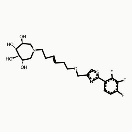 O[C@H]1[C@H](O)[C@@H](O)CN(CC/C=C/CCOCc2csc(-c3ccc(F)c(F)c3F)n2)C[C@@H]1O